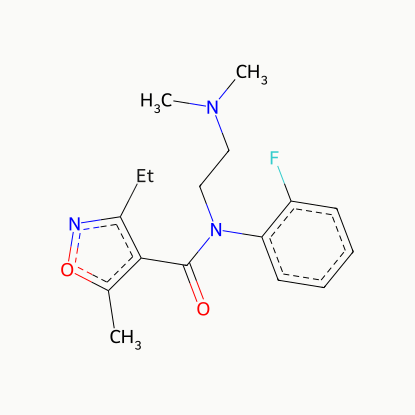 CCc1noc(C)c1C(=O)N(CCN(C)C)c1ccccc1F